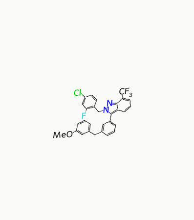 COc1cccc(Cc2cccc(-c3c4cccc(C(F)(F)F)c4nn3Cc3ccc(Cl)cc3F)c2)c1